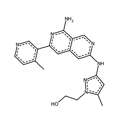 Cc1ccncc1-c1cc2cc(Nc3cc(C)n(CCO)n3)ncc2c(N)n1